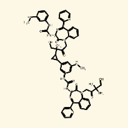 BC(C)(CO)C(=O)CN1C(=O)[C@H](NC(=O)Nc2cc(NC)cc(C3CC3C(C)(CO)C(=O)CN3C(=O)[C@H](NC(=O)Nc4cccc(NC)c4)N=C(c4ccccn4)c4ccccc43)c2)N=C(c2ccccn2)c2ccccc21